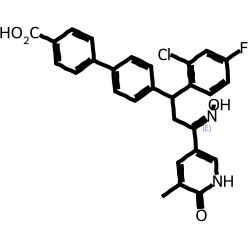 Cc1cc(/C(CC(c2ccc(-c3ccc(C(=O)O)cc3)cc2)c2ccc(F)cc2Cl)=N/O)c[nH]c1=O